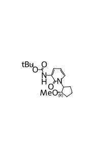 CO[C@@H]1CCCC1n1cccc(NC(=O)OC(C)(C)C)c1=O